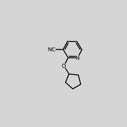 N#Cc1cccnc1OC1CCCC1